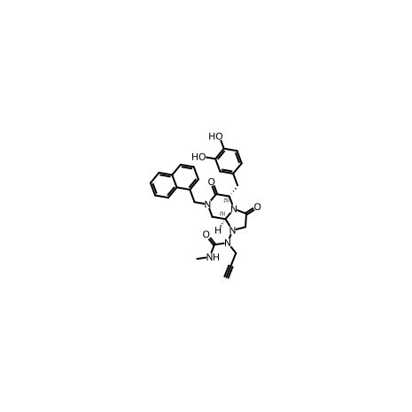 C#CCN(C(=O)NC)N1CC(=O)N2[C@@H](Cc3ccc(O)c(O)c3)C(=O)N(Cc3cccc4ccccc34)C[C@@H]21